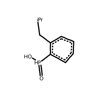 CC(C)Cc1ccccc1[PH](=O)O